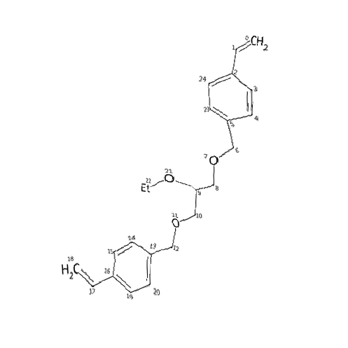 C=Cc1ccc(COCC(COCc2ccc(C=C)cc2)OCC)cc1